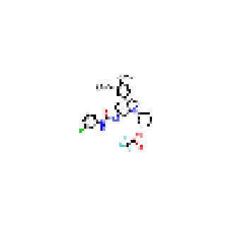 COc1ccc(C23CCC(NC(=O)Nc4cccc(Cl)c4)CC2N(C2CCCCC2)CC3)cc1OC.O=C(O)C(F)(F)F